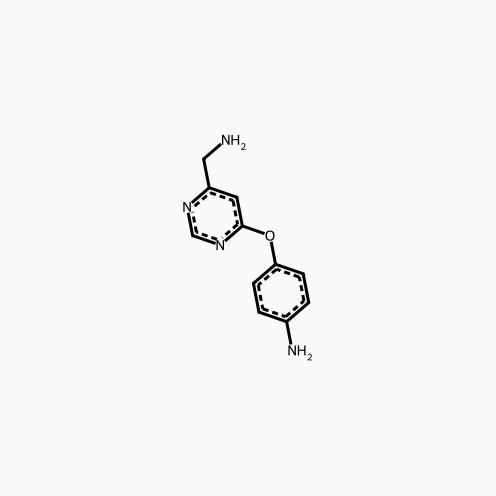 NCc1cc(Oc2ccc(N)cc2)ncn1